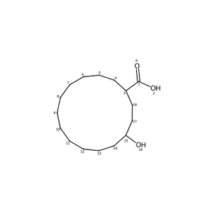 O=C(O)C1CCCCCCCCCCCC(O)CC1